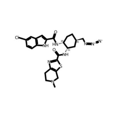 CN1CCc2nc(C(=O)N[C@H]3C[C@H](CN=[N+]=[N-])CC[C@H]3NC(=O)c3cc4cc(Cl)ccc4[nH]3)sc2C1